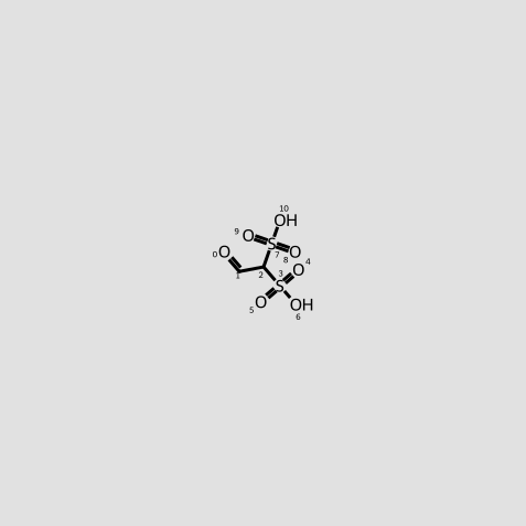 O=CC(S(=O)(=O)O)S(=O)(=O)O